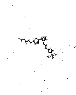 CCCCCCc1ccc(-c2cccn2CCCc2ccc(P(=O)(O)O)s2)cc1